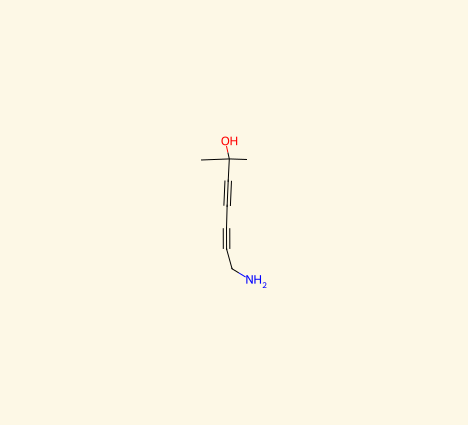 CC(C)(O)C#CC#CCN